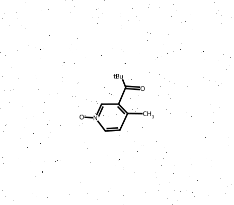 Cc1cc[n+]([O-])cc1C(=O)C(C)(C)C